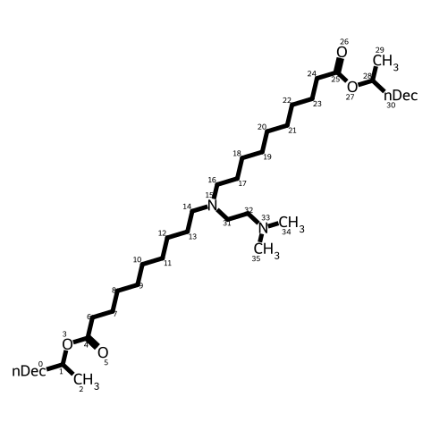 CCCCCCCCCCC(C)OC(=O)CCCCCCCCCN(CCCCCCCCCC(=O)OC(C)CCCCCCCCCC)CCN(C)C